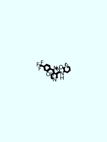 CN1CCCC(Nc2nnc(-c3ccc(C(F)(F)F)cc3O)c3ccncc23)C1=O